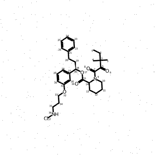 CCC(C)(C)C(=O)C(=O)N1CCCCC1C(=O)O[C@H](CCc1ccccc1)c1cccc(OCCCNCl)c1